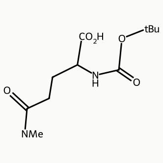 CNC(=O)CCC(NC(=O)OC(C)(C)C)C(=O)O